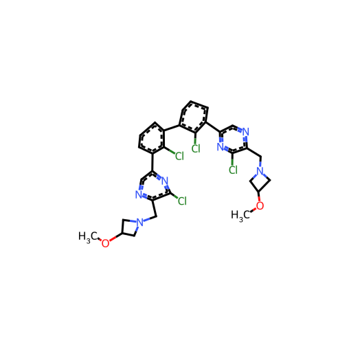 COC1CN(Cc2ncc(-c3cccc(-c4cccc(-c5cnc(CN6CC(OC)C6)c(Cl)n5)c4Cl)c3Cl)nc2Cl)C1